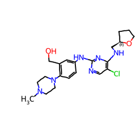 CN1CCN(c2ccc(Nc3ncc(Cl)c(NC[C@H]4CCCO4)n3)cc2CO)CC1